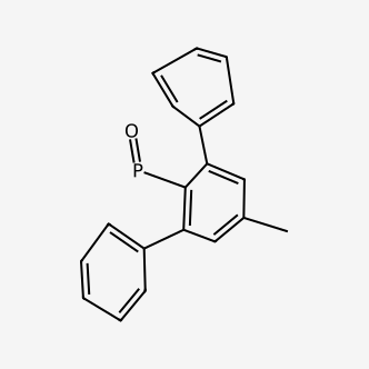 Cc1cc(-c2ccccc2)c(P=O)c(-c2ccccc2)c1